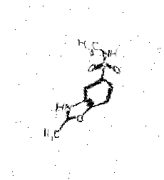 CNS(=O)(=O)c1ccc2c(c1)NC(C)O2